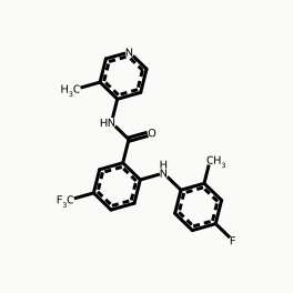 Cc1cnccc1NC(=O)c1cc(C(F)(F)F)ccc1Nc1ccc(F)cc1C